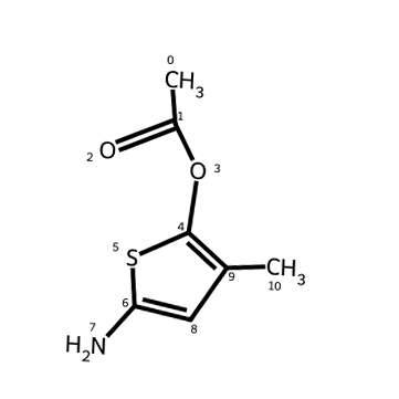 CC(=O)Oc1sc(N)cc1C